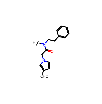 CN(CCc1ccccc1)C(=O)Cn1ccc(C=O)c1